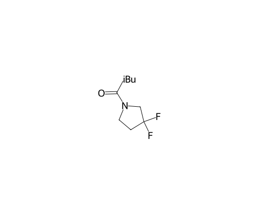 CCC(C)C(=O)N1CCC(F)(F)C1